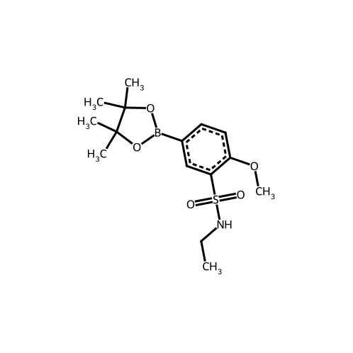 CCNS(=O)(=O)c1cc(B2OC(C)(C)C(C)(C)O2)ccc1OC